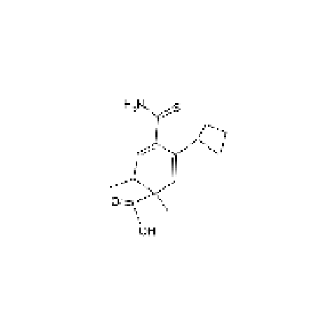 CC1C=C(C(N)=S)C(C2CCC2)=CC1(C)C(=O)O